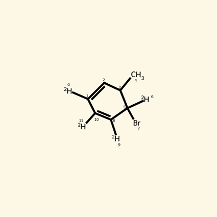 [2H]C1=CC(C)C([2H])(Br)C([2H])=C1[2H]